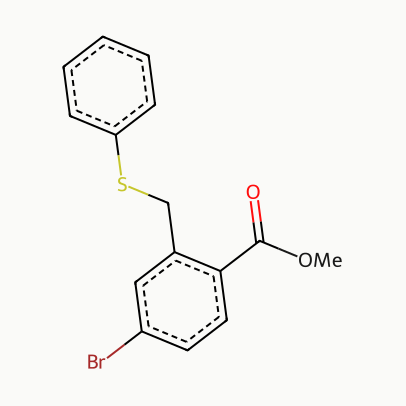 COC(=O)c1ccc(Br)cc1CSc1ccccc1